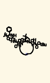 CN(C)C(=O)[C@@H](NC(=O)CNC(=O)C(=O)[C@@H]1CCCC/C=C/CCCC[C@H](NC(=O)OC(C)(C)C)C(=O)N2CC3C([C@H]2C(=O)N1)C3(C)C)c1ccccc1